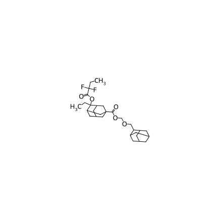 CCC(F)(F)C(=O)OC1(CC)C2CC3CC1CC(C(=O)OCOCC1C4CC5CC(C4)CC1C5)(C3)C2